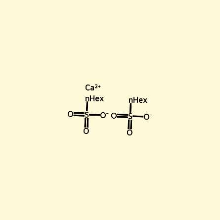 CCCCCCS(=O)(=O)[O-].CCCCCCS(=O)(=O)[O-].[Ca+2]